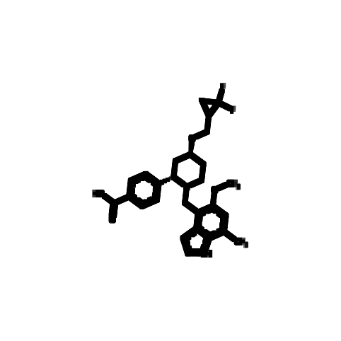 COc1cc(C)c2[nH]ccc2c1CN1CC[C@H](OCC2CC2(F)F)C[C@H]1c1ccc(C(=O)O)cc1